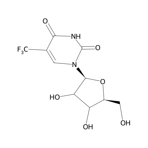 O=c1[nH]c(=O)n([C@H]2O[C@@H](CO)C(O)C2O)cc1C(F)(F)F